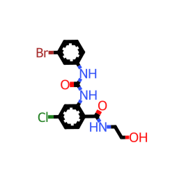 O=C(Nc1cccc(Br)c1)Nc1cc(Cl)ccc1C(=O)NCCO